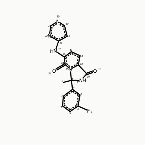 CC1(c2cccc(F)c2)NC(=O)c2ccc(Nc3ccncn3)c(=O)n21